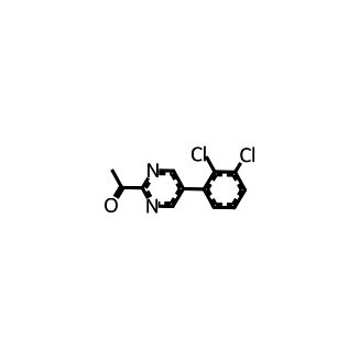 CC(=O)c1ncc(-c2cccc(Cl)c2Cl)cn1